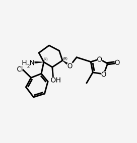 Cc1oc(=O)oc1CO[C@@H]1CCC[C@@](N)(c2ccccc2Cl)C1O